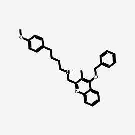 COc1ccc(CCCCNCc2nc3ccccc3c(OCc3ccccc3)c2C)cc1